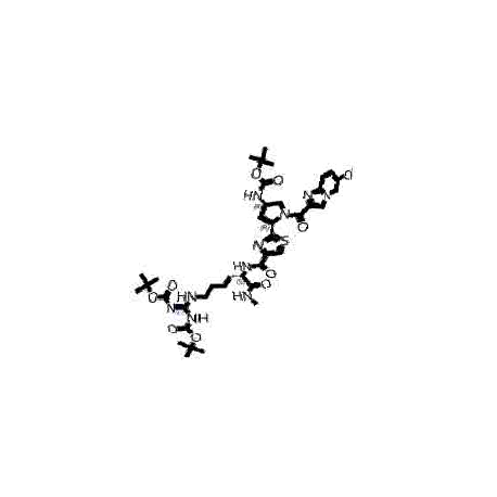 CNC(=O)[C@H](CCCCN/C(=N\C(=O)OC(C)(C)C)NC(=O)OC(C)(C)C)NC(=O)c1csc([C@H]2C[C@@H](NC(=O)OC(C)(C)C)CN2C(=O)c2cn3cc(Cl)ccc3n2)n1